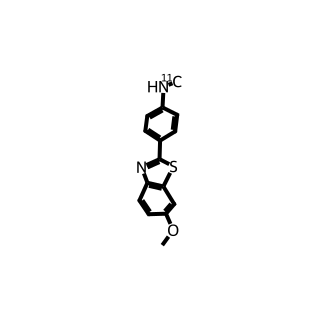 COc1ccc2nc(-c3ccc(N[11CH3])cc3)sc2c1